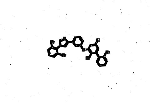 CC(C)c1ccccc1-c1cc(Cl)cc(Oc2cccc(-c3cn(-c4c(C(C)C)cccc4C(C)C)cn3)c2)c1C(C)C